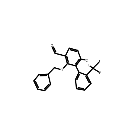 O=Cc1ccc(Cl)c(-c2ccccc2C(F)(F)F)c1OCc1ccccc1